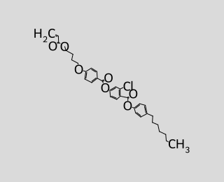 C=CC(=O)OCCCCOc1ccc(C(=O)Oc2ccc(C(=O)Oc3ccc(CCCCCCC)cc3)c(Cl)c2)cc1